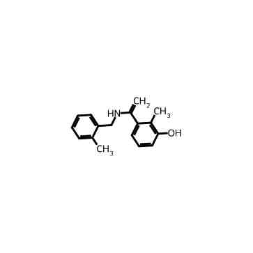 C=C(NCc1ccccc1C)c1cccc(O)c1C